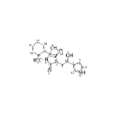 CN1C(=O)N(CC(O)c2cc[nH]c2)C(=O)C1(C)C1CCCCC1